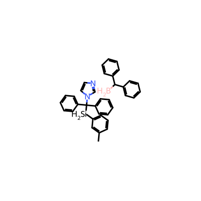 BC(c1ccccc1)c1ccccc1.Cc1cccc([SiH2]C(c2ccccc2)(c2ccccc2)n2ccnc2)c1